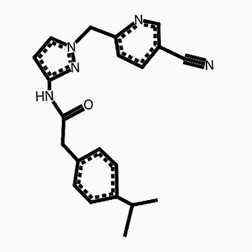 CC(C)c1ccc(CC(=O)Nc2ccn(Cc3ccc(C#N)cn3)n2)cc1